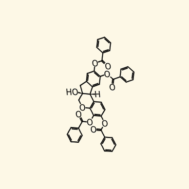 O=C(Oc1cc2c(cc1OC(=O)c1ccccc1)[C@@H]1c3ccc(OC(=O)c4ccccc4)c(OC(=O)c4ccccc4)c3OC[C@]1(O)C2)c1ccccc1